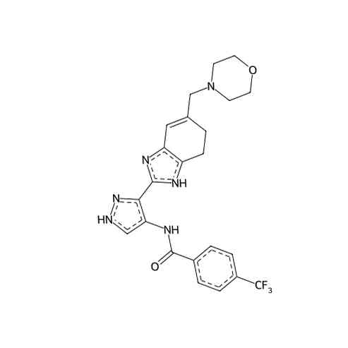 O=C(Nc1c[nH]nc1-c1nc2c([nH]1)CCC(CN1CCOCC1)=C2)c1ccc(C(F)(F)F)cc1